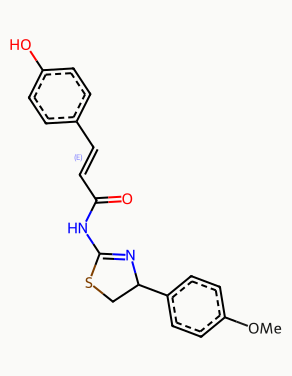 COc1ccc(C2CSC(NC(=O)/C=C/c3ccc(O)cc3)=N2)cc1